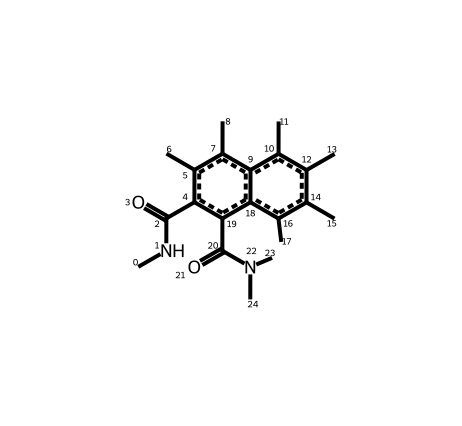 CNC(=O)c1c(C)c(C)c2c(C)c(C)c(C)c(C)c2c1C(=O)N(C)C